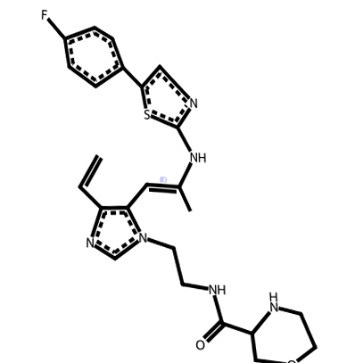 C=Cc1ncn(CCNC(=O)C2COCCN2)c1/C=C(\C)Nc1ncc(-c2ccc(F)cc2)s1